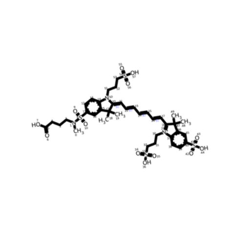 CN(CCCC(=O)O)S(=O)(=O)c1ccc2c(c1)C(C)(C)\C(=C/C=C/C=C/C=C/C1=[N+](CCCS(=O)(=O)O)c3ccc(S(=O)(=O)O)cc3C1(C)C)N2CCCS(=O)(=O)O